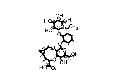 CC[C@@H]1CCC[C@@H](O[C@@H]2OC(CO)[C@H](O)C3O[C@@H](C(=O)O)CC4CC4COC32)C1O[C@@H]1OC(C)[C@@H](O)C(O)[C@@H]1O